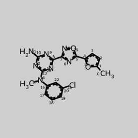 Cc1ccc(-c2nc(-c3nc(N)nc(N(C)c4cccc(Cl)c4)n3)no2)o1